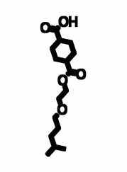 CC(C)CCCOCCOC(=O)C1CCC(C(=O)O)CC1